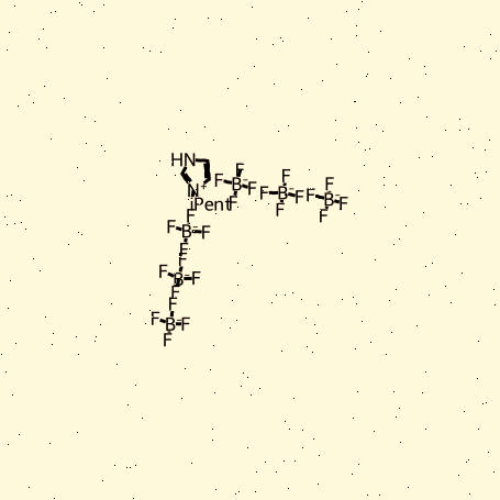 CCCC(C)[n+]1cc[nH]c1.F[B-](F)(F)F.F[B-](F)(F)F.F[B-](F)(F)F.F[B-](F)(F)F.F[B-](F)(F)F.F[B-](F)(F)F